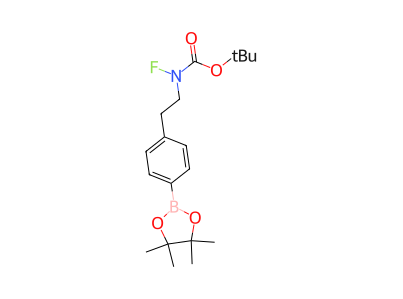 CC(C)(C)OC(=O)N(F)CCc1ccc(B2OC(C)(C)C(C)(C)O2)cc1